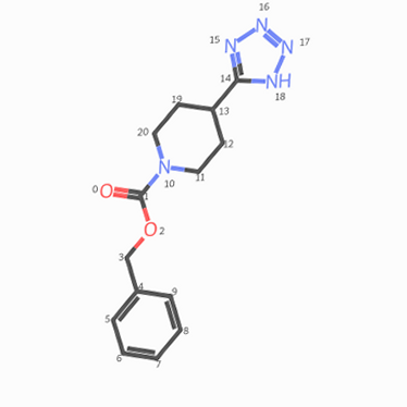 O=C(OCc1ccccc1)N1CCC(c2nnn[nH]2)CC1